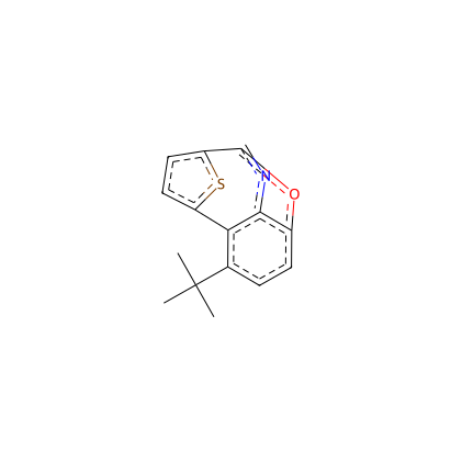 CC(C)(C)c1ccc2oc3nc2c1-c1ccc-3s1